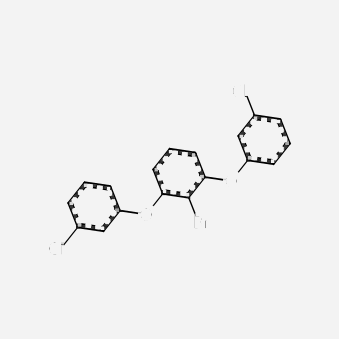 Clc1cccc(Oc2cccc(Oc3cccc(Cl)c3)c2Br)c1